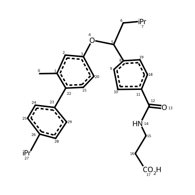 Cc1cc(OC(CC(C)C)c2ccc(C(=O)NCCC(=O)O)cc2)ccc1-c1ccc(C(C)C)cc1